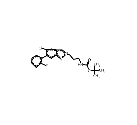 CC(C)(C)OC(=O)NCCCn1cc2cc(Cl)c(-c3ccccc3F)cc2n1